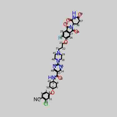 N#Cc1ccc(O[C@H]2CC[C@H](NC(=O)c3cnc(N4CCN(CCCOc5cc6c(cc5F)C(=O)N(C5CCC(=O)NC5=O)C6=O)CC4)nc3)CC2)cc1Cl